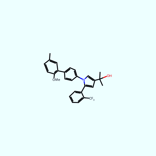 COc1ccc(C)cc1-c1ccc(-n2cc(C(C)(C)O)cc2-c2ccccc2C(F)(F)F)cc1